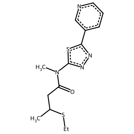 CCSC(C)CC(=O)N(C)c1nnc(-c2cccnc2)s1